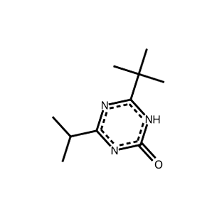 CC(C)c1nc(C(C)(C)C)[nH]c(=O)n1